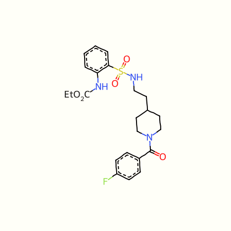 CCOC(=O)Nc1ccccc1S(=O)(=O)NCCC1CCN(C(=O)c2ccc(F)cc2)CC1